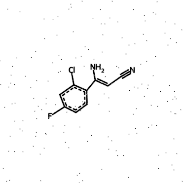 N#C/C=C(\N)c1ccc(F)cc1Cl